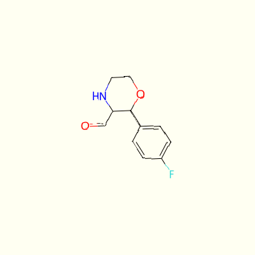 O=CC1NCCOC1c1ccc(F)cc1